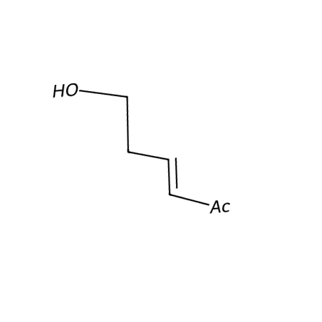 CC(=O)C=CCCO